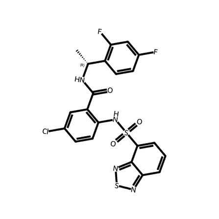 C[C@@H](NC(=O)c1cc(Cl)ccc1NS(=O)(=O)c1cccc2nsnc12)c1ccc(F)cc1F